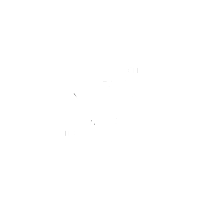 C=C(C)/C=C(/c1ccccc1)c1ccc2c(c1C)N=C(C)C[C@H]2c1ccccc1